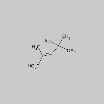 CC(=O)OC(C)(C=C(C)C(=O)O)C(C)=O